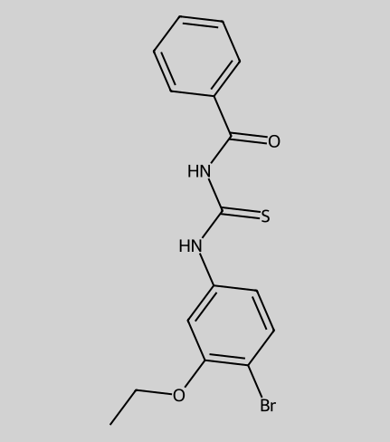 CCOc1cc(NC(=S)NC(=O)c2ccccc2)ccc1Br